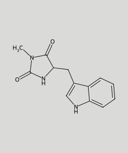 CN1C(=O)NC(Cc2c[nH]c3ccccc23)C1=O